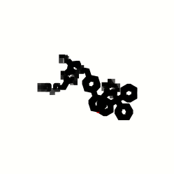 CCc1cn(Cc2ccc(-c3ccccc3-c3nnnn3C(c3ccccc3)(c3ccccc3)c3ccccc3)cc2)n2nc(CC(=O)O)nc12